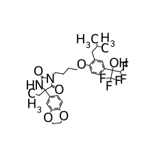 CCC1(c2ccc3c(c2)OCCO3)NC(=O)N(CCCCOc2ccc(C(O)(C(F)F)C(F)(F)F)cc2CC(C)C)C1=O